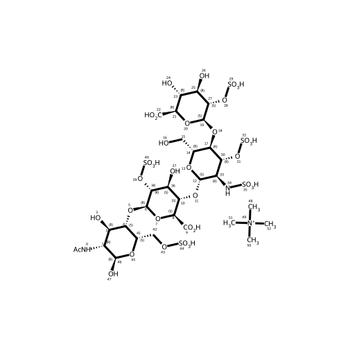 CC(=O)N[C@@H]1[C@@H](O)[C@H](O[C@@H]2O[C@H](C(=O)O)[C@@H](O[C@@H]3O[C@H](CO)[C@@H](O[C@H]4O[C@@H](C(=O)O)[C@H](O)[C@@H](O)[C@@H]4OS(=O)(=O)O)[C@H](OS(=O)(=O)O)[C@H]3NS(=O)(=O)O)[C@H](O)[C@H]2OS(=O)(=O)O)[C@H](COS(=O)(=O)O)O[C@H]1O.C[N+](C)(C)C